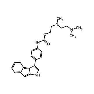 CN(C)CCN(C)CCOC(=O)Nc1ccc(-c2c[nH]c3c2=C2CC=CC=C2C=3)cc1